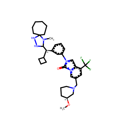 CO[C@H]1CCCN(Cc2cc(C(F)(F)F)c3cn(-c4cccc([C@@H](C5CCC5)C5NNC6(CCCCCC6)N5C)c4)c(=O)n3c2)C1